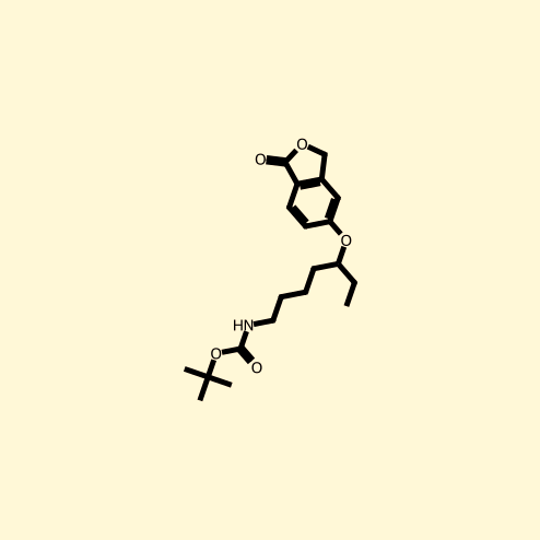 CCC(CCCCNC(=O)OC(C)(C)C)Oc1ccc2c(c1)COC2=O